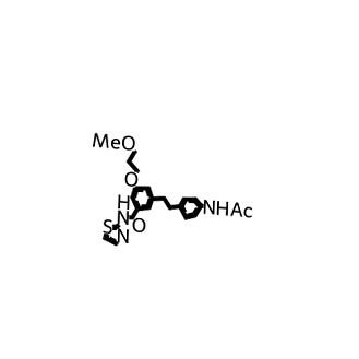 COCCCOc1cc(CCc2ccc(NC(C)=O)cc2)cc(C(=O)Nc2nccs2)c1